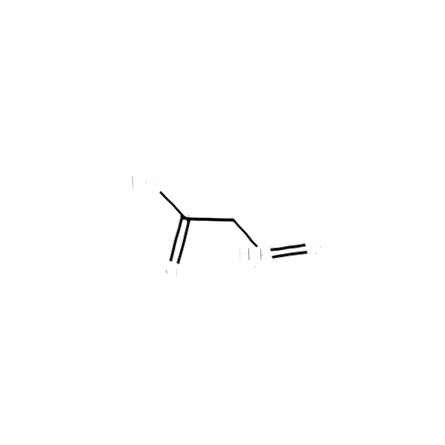 O=[PH2]CC(=O)O